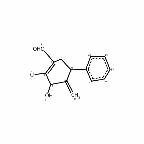 C=C1C(O)C(Cl)=C(C=O)CC1c1ccccc1